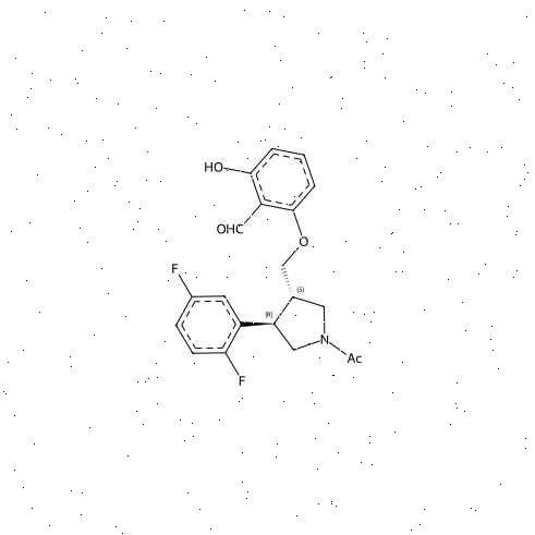 CC(=O)N1C[C@@H](COc2cccc(O)c2C=O)[C@H](c2cc(F)ccc2F)C1